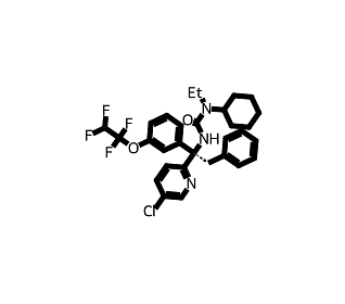 CCN(C(=O)N[C@](Cc1ccccc1)(c1cccc(OC(F)(F)C(F)F)c1)c1ccc(Cl)cn1)C1CCCCC1